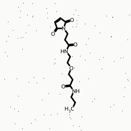 CCCNC(=O)CCOCCNC(=O)CCN1C(=O)C=CC1=O